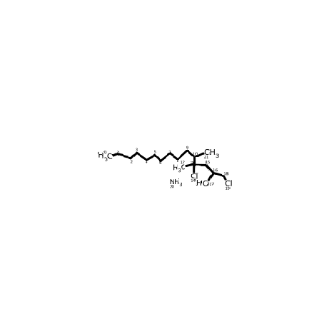 CCCCCCCCCCC(C)C(C)(Cl)CC(O)CCl.N